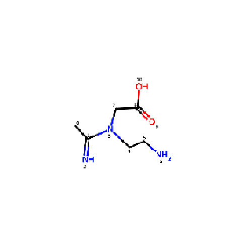 CC(=N)N(CCN)CC(=O)O